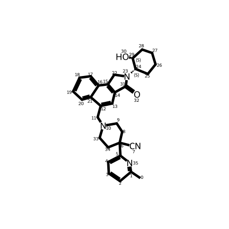 Cc1cccc(C2(C#N)CCN(Cc3cc4c(c5ccccc35)CN([C@H]3CCCC[C@@H]3O)C4=O)CC2)n1